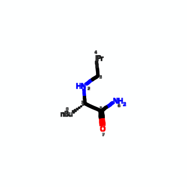 CCCC[C@H](NCC(C)C)C(N)=O